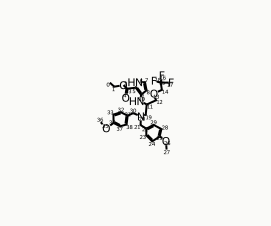 CCOC(=O)c1[nH]ccc1NC(COCC(F)(F)F)CN(Cc1ccc(OC)cc1)Cc1ccc(OC)cc1